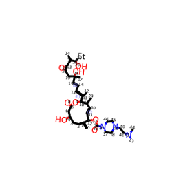 C=C1CCC(O)CC(=O)OC(/C(C)=C/C=C/C(C)(O)CC2OC2C(C)C(O)CC)C(C)/C=C/C1OC(=O)N1CCN(CCN(C)C)CC1